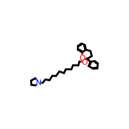 c1ccc(C2(OCCCCCCCCCCCCN3CCCC3)CCc3ccccc3O2)cc1